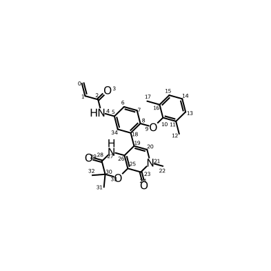 C=CC(=O)Nc1ccc(Oc2c(C)cccc2C)c(-c2cn(C)c(=O)c3c2NC(=O)C(C)(C)O3)c1